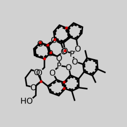 Cc1cc(C)c(OP(Oc2ccccc2COCCCO)Oc2ccccc2C2OCCCO2)c(-c2c(C)c(C)cc(C)c2OP(Oc2ccccc2C2OCCCO2)Oc2ccccc2C2OCCCO2)c1C